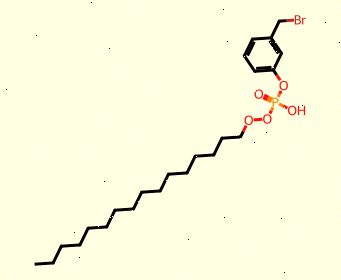 CCCCCCCCCCCCCCCCOOP(=O)(O)Oc1cccc(CBr)c1